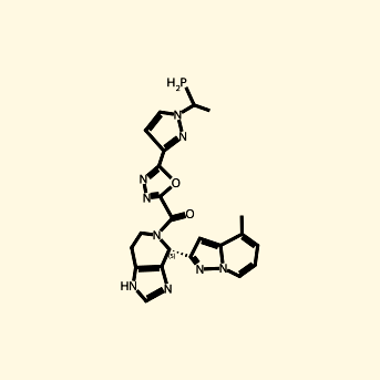 Cc1cccn2nc([C@@H]3c4nc[nH]c4CCN3C(=O)c3nnc(-c4ccn(C(C)P)n4)o3)cc12